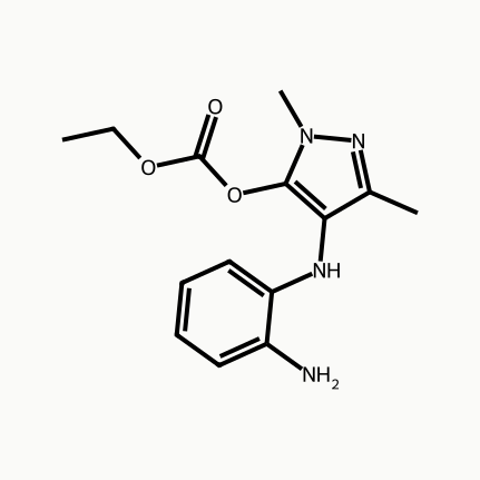 CCOC(=O)Oc1c(Nc2ccccc2N)c(C)nn1C